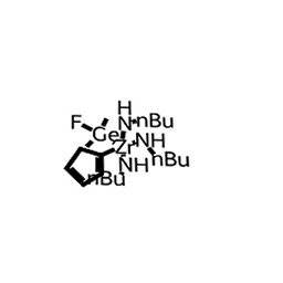 CCCC[NH][Zr]([NH]CCCC)([NH]CCCC)([C]1=CC=CC1)[Ge]([CH3])([CH3])[F]